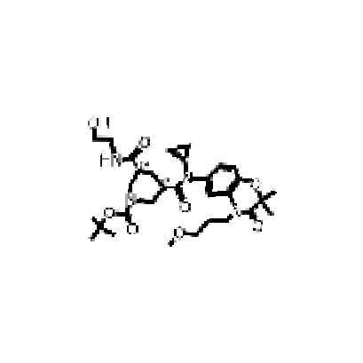 COCCCN1C(=O)C(C)(C)Oc2ccc(N(C(=O)[C@@H]3C[C@H](C(=O)NCCO)CN(C(=O)OC(C)(C)C)C3)C3CC3)cc21